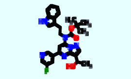 CC(O)c1cnn2c(N(CCc3c[nH]c4ccccc34)C(=O)OC(C)(C)C)cc(-c3cncc(F)c3)nc12